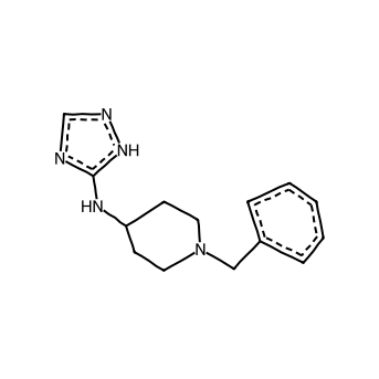 c1ccc(CN2CCC(Nc3ncn[nH]3)CC2)cc1